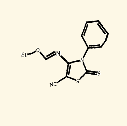 CCOC=Nc1c(C#N)sc(=S)n1-c1ccccc1